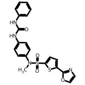 CN(c1ccc(NC(=O)Nc2ccccc2)cc1)S(=O)(=O)c1ccc(-c2ncco2)s1